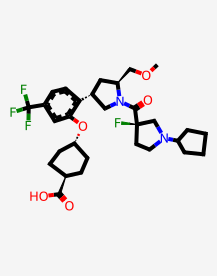 COC[C@@H]1C[C@@H](c2ccc(C(F)(F)F)cc2O[C@H]2CC[C@H](C(=O)O)CC2)CN1C(=O)[C@@]1(F)CCN(C2CCCC2)C1